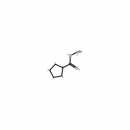 CCCOC(=O)C1C[CH]CC1